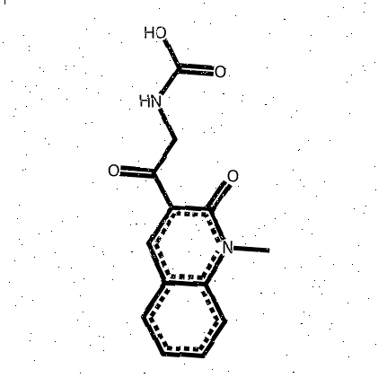 Cn1c(=O)c(C(=O)CNC(=O)O)cc2ccccc21